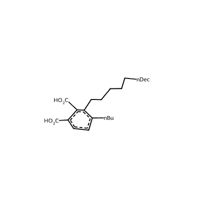 CCCCCCCCCCCCCCCc1c(CCCC)ccc(C(=O)O)c1C(=O)O